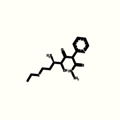 CCSCC[C@@H](N)C(O)C(=O)C(C(=O)NN)c1ccccn1